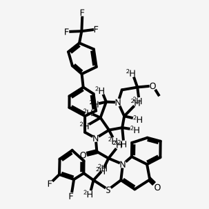 [2H]C([2H])(CN1C([2H])([2H])C([2H])([2H])C([2H])(N(Cc2ccc(-c3ccc(C(F)(F)F)cc3)cc2)C(=O)C([2H])([2H])n2c(SC([2H])([2H])c3cccc(F)c3F)cc(=O)c3ccccc32)C([2H])([2H])C1([2H])[2H])OC